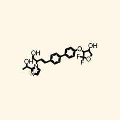 CC(O)c1nccn1C(/C=C/c1ccc(-c2ccc(OC3C(O)COC3(F)F)cc2)cc1)CO